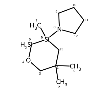 CC1(C)CO[SiH2][Si](C)(N2CCCC2)C1